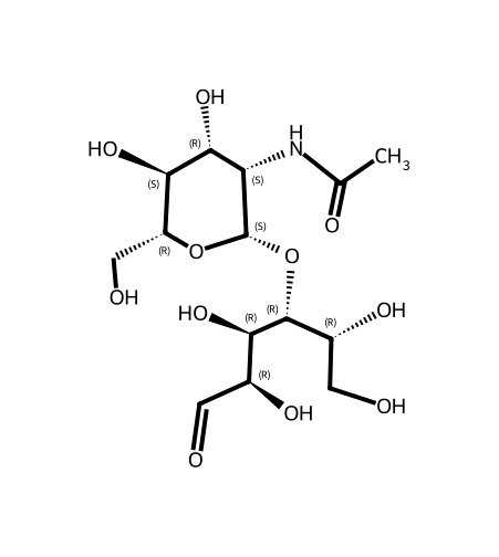 CC(=O)N[C@@H]1[C@H](O[C@@H]([C@H](O)[C@@H](O)C=O)[C@H](O)CO)O[C@H](CO)[C@@H](O)[C@@H]1O